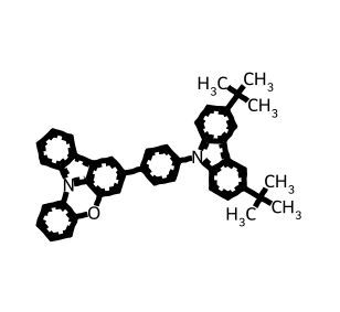 CC(C)(C)c1ccc2c(c1)c1cc(C(C)(C)C)ccc1n2-c1ccc(-c2cc3c4c(c2)c2ccccc2n4-c2ccccc2O3)cc1